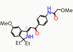 CCC1(CC)N/C(=C\C(=O)c2ccc(NC(=O)COC)cc2)c2cc(OC)ccc21